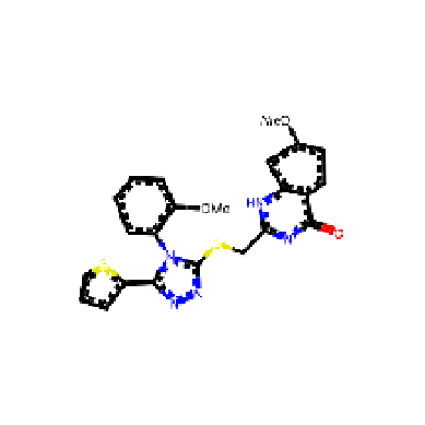 COc1ccc2c(=O)nc(CSc3nnc(-c4cccs4)n3-c3ccccc3OC)[nH]c2c1